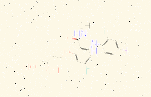 CNC(=O)c1c(Nc2ccc(I)cc2F)cc(F)cc1OCCC(O)CO